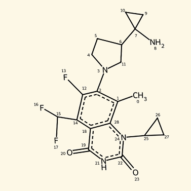 Cc1c(N2CCC(C3(N)CC3)C2)c(F)c(C(F)F)c2c(=O)[nH]c(=O)n(C3CC3)c12